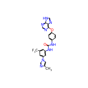 Cc1cn(-c2cc(NC(=O)Nc3ccc(Oc4ncnc5[nH]cnc45)cc3)cc(C(F)(F)F)c2)cn1